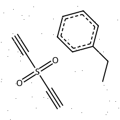 C#CS(=O)(=O)C#C.CCc1ccccc1